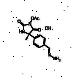 CC(=O)ON1C(=O)N[C@@](C)(c2ccc(C=NN)cc2)C1=O.Cl